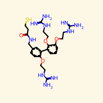 N=C(N)NCCOc1ccc(CNC(=O)CCS)cc1-c1cccc(OCCNC(=N)N)c1OCCNC(=N)N